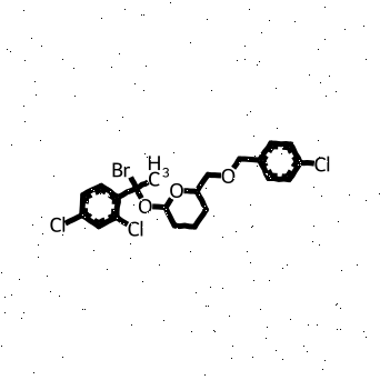 CC(Br)(OC1CCCC(COCc2ccc(Cl)cc2)O1)c1ccc(Cl)cc1Cl